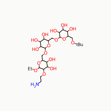 CCOC1OC(COC2OC(COC3OC(COC(C)(C)C)C(O)C(O)C3O)C(O)C(O)C2O)C(O)C(O)C1OCCN